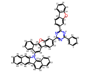 c1ccc(-c2nc(-c3ccc4c(c3)oc3ccccc34)nc(-c3ccc4c(c3)oc3c5ccccc5c(-n5c6cc7ccccc7cc6c6ccc7ccccc7c65)cc43)n2)cc1